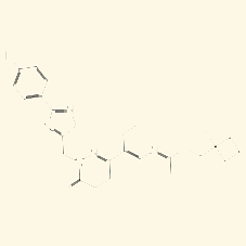 CC/C(=C\N=C(/C)OCC1(F)CCC1)C1=NN(CC2=NC(c3ccc(F)cc3)=NC2)C(=O)CC1